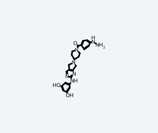 NNc1ccc(C(=O)N2CCC(N3Cc4cnc(Nc5cc(O)cc(O)c5)nc4C3)CC2)cc1